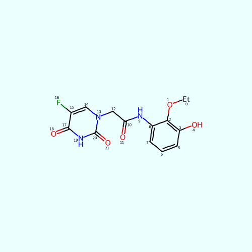 CCOc1c(O)cccc1NC(=O)Cn1cc(F)c(=O)[nH]c1=O